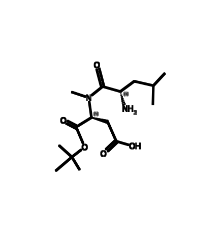 CC(C)C[C@H](N)C(=O)N(C)[C@@H](CC(=O)O)C(=O)OC(C)(C)C